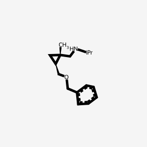 CC(C)NC[C@@]1(C)C[C@@H]1COCc1ccccc1